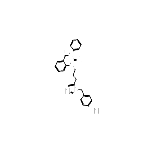 N#Cc1ccc(Cn2cncc2CCCn2c(=O)n(-c3ccccc3)c(=O)c3ccccc32)cc1